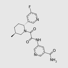 C[C@H]1CC[C@H](c2cncc(F)c2)N(C(=O)C(=O)Nc2cncc(C(N)=O)c2)C1